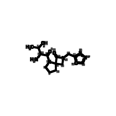 CC(O)[C@H](N)C(=O)N1CCCC12CN(Cc1nnco1)C2=O